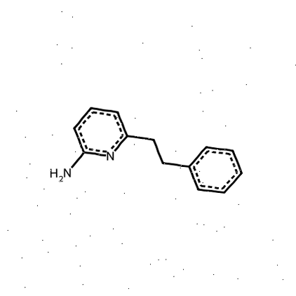 Nc1cccc(CCc2ccccc2)n1